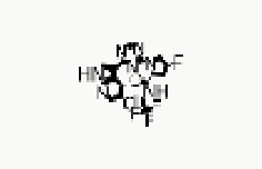 O=C(NCC(F)(F)F)[C@H]1C[C@H](F)CN1c1ncnc(-c2c[nH]c3ncc(Cl)cc23)n1